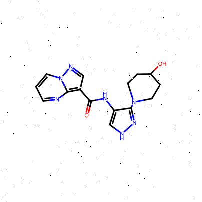 O=C(Nc1c[nH]nc1N1CCC(O)CC1)c1cnn2cccnc12